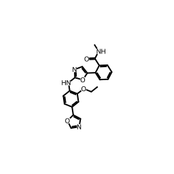 CCOc1cc(-c2cnco2)ccc1Nc1ncc(-c2ccccc2C(=O)NC)o1